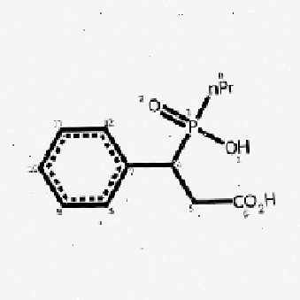 CCCP(=O)(O)C(CC(=O)O)c1ccccc1